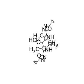 Cc1[nH]c(-c2nnc(C3CC3)o2)c(C)c1C(=O)c1c(C)[nH]c(-c2nnc(C3CC3)o2)c1C.Cl